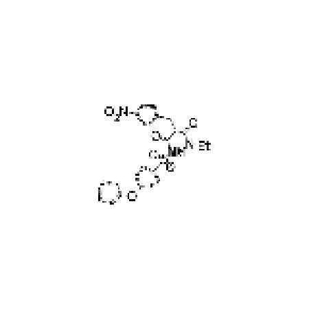 CCN(CC)C(=O)C(Cc1ccc([N+](=O)[O-])cc1)C(=O)NS(=O)(=O)c1ccc(Oc2ccccc2)cc1